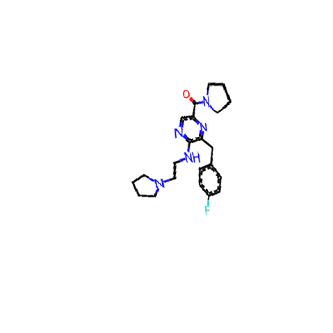 O=C(c1cnc(NCCN2CCCC2)c(Cc2ccc(F)cc2)n1)N1CCCC1